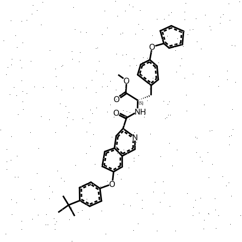 COC(=O)[C@H](Cc1ccc(Oc2ccccc2)cc1)NC(=O)c1cc2ccc(Oc3ccc(C(C)(C)C)cc3)cc2cn1